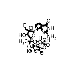 CC(C)(OP(=O)(O)OP(=O)(O)OP(=O)(O)O)[C@H]1O[C@@H](n2ccc3c(=O)[nH]c(N)nc32)[C@@](Cl)(CF)C1O